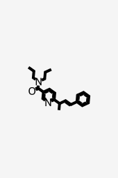 CCCN(CCC)C(=O)c1ccc(C(C)C=Cc2ccccc2)nc1